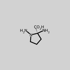 NN1CCC[C@@]1(N)C(=O)O